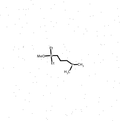 CC[Si](CC)(CCCP(C)C)OC